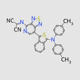 Cc1ccc(N(c2ccc(C)cc2)c2sc(-c3cnc(N=C(C#N)C#N)c4nsnc34)c3ccccc23)cc1